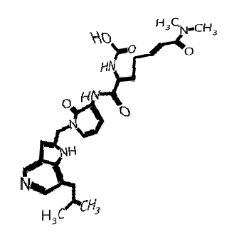 CC(C)Cc1cncc2cc(Cn3cccc(NC(=O)C(CCC=CC(=O)N(C)C)NC(=O)O)c3=O)[nH]c12